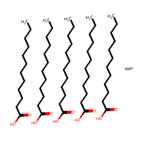 CCCCCCCCCCCC(=O)O.CCCCCCCCCCCC(=O)O.CCCCCCCCCCCC(=O)O.CCCCCCCCCCCC(=O)O.CCCCCCCCCCCC(=O)O.[NaH]